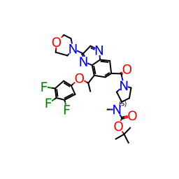 CC(Oc1cc(F)c(F)c(F)c1)c1cc(C(=O)N2CC[C@H](N(C)C(=O)OC(C)(C)C)C2)cc2ncc(N3CCOCC3)nc12